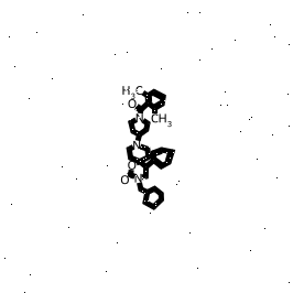 Cc1cccc(C)c1C(=O)N1CCC(N2CCC3(CC2)OC(=O)N(CC2CCCCC2)CC3c2ccccc2)CC1